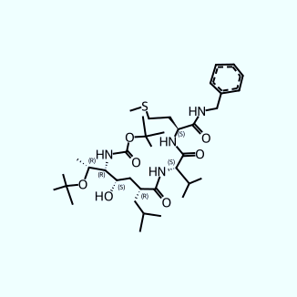 CSCC[C@H](NC(=O)[C@@H](NC(=O)[C@H](CC(C)C)C[C@H](O)[C@@H](NC(=O)OC(C)(C)C)[C@@H](C)OC(C)(C)C)C(C)C)C(=O)NCc1ccccc1